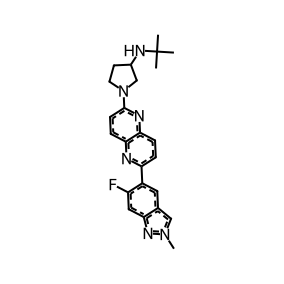 Cn1cc2cc(-c3ccc4nc(N5CCC(NC(C)(C)C)C5)ccc4n3)c(F)cc2n1